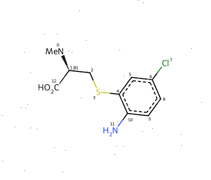 CN[C@@H](CSc1cc(Cl)ccc1N)C(=O)O